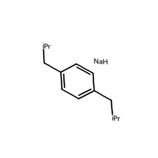 CC(C)Cc1ccc(CC(C)C)cc1.[NaH]